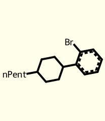 CCCCCC1CCC(c2ccccc2Br)CC1